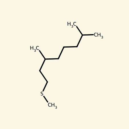 CSCCC(C)CCCC(C)C